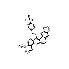 COc1ccc2c(CCc3ccc(C(F)(F)F)cc3)c3[n+](cc2c1OC)CCc1cc2c(cc1-3)OCO2